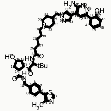 Cc1ncsc1-c1ccc(CNC(=O)[C@@H]2C[C@@H](O)C[C@@H]2C(=O)C(NC(=O)CCCCCN2CCC(Cn3cc(-c4cc(-c5ccccc5O)nnc4N)cn3)CC2)C(C)(C)C)cc1